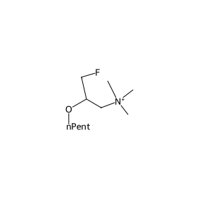 CCCCCOC(CF)C[N+](C)(C)C